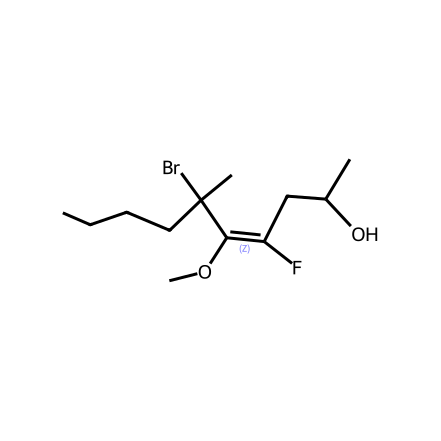 CCCCC(C)(Br)/C(OC)=C(/F)CC(C)O